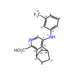 O=C(O)c1ncc(Nc2cccc(C(F)(F)F)c2)c2c1C1CCC2CC1